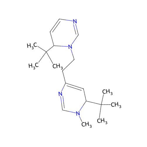 CN1C=NC(CCN2C=NC=CC2C(C)(C)C)=CC1C(C)(C)C